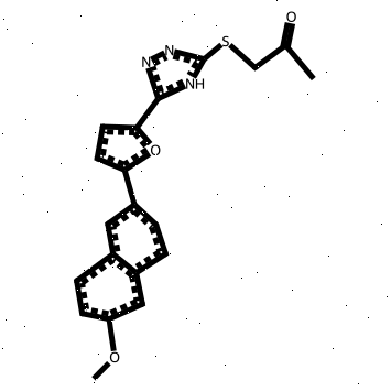 COc1ccc2cc(-c3ccc(-c4nnc(SCC(C)=O)[nH]4)o3)ccc2c1